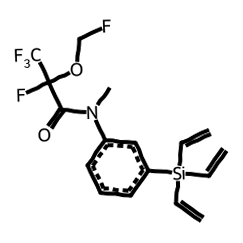 C=C[Si](C=C)(C=C)c1cccc(N(C)C(=O)C(F)(OCF)C(F)(F)F)c1